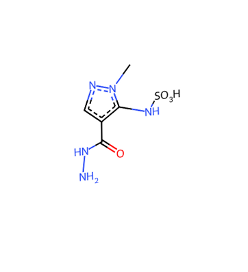 Cn1ncc(C(=O)NN)c1NS(=O)(=O)O